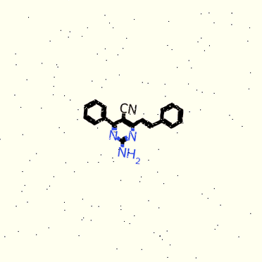 N#Cc1c(C=Cc2ccccc2)nc(N)nc1-c1ccccc1